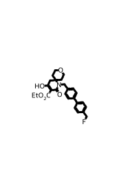 CCOC(=O)C1=C(O)CC2(CCOCC2)N(Cc2ccc(-c3ccc(CF)cc3)cc2)C1=O